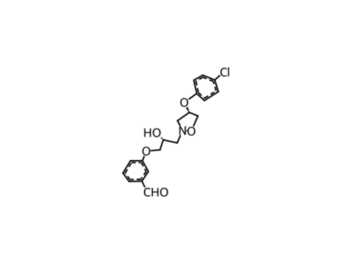 O=Cc1cccc(OC[C@H](O)CN2C[C@@H](Oc3ccc(Cl)cc3)CO2)c1